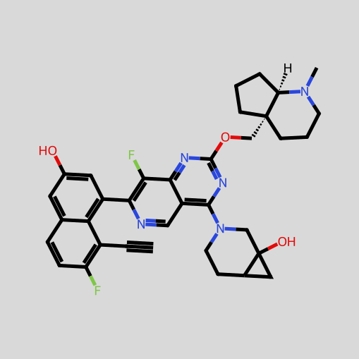 C#Cc1c(F)ccc2cc(O)cc(-c3ncc4c(N5CCC6CC6(O)C5)nc(OC[C@]56CCC[C@H]5N(C)CCC6)nc4c3F)c12